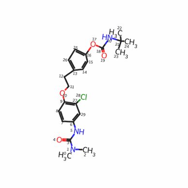 CN(C)C(=O)Nc1ccc(OCCc2ccc(OC(=O)NC(C)(C)C)cc2)c(Cl)c1